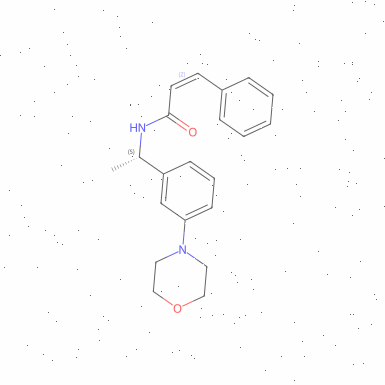 C[C@H](NC(=O)/C=C\c1ccccc1)c1cccc(N2CCOCC2)c1